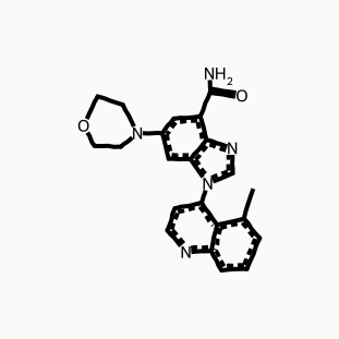 Cc1cccc2nccc(-n3cnc4c(C(N)=O)cc(N5CCOCC5)cc43)c12